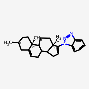 C[C@H]1CC[C@@]2(C)C(=CCC3C2CC[C@]2(C)C(n4nnc5ccccc54)=CCC32)C1